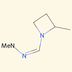 CN/N=C\N1CCC1C